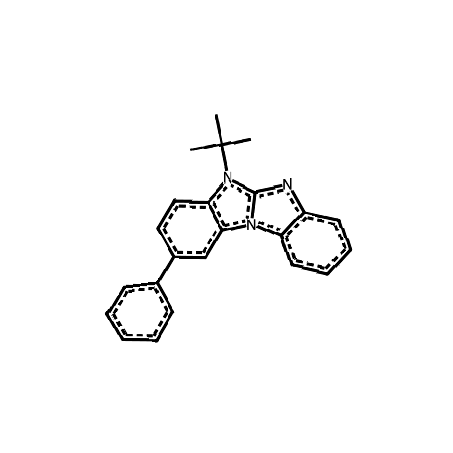 CC(C)(C)n1c2ccc(-c3ccccc3)cc2n2c3ccccc3nc12